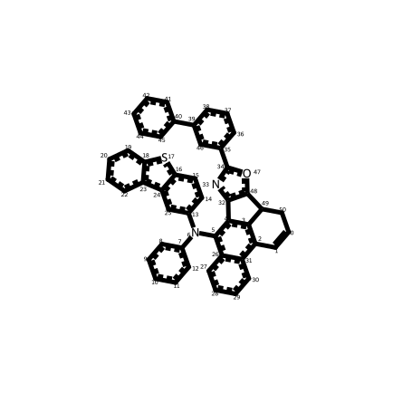 C1=Cc2c3c(c(N(c4ccccc4)c4ccc5sc6ccccc6c5c4)c4ccccc24)-c2nc(-c4cccc(-c5ccccc5)c4)oc2C3C1